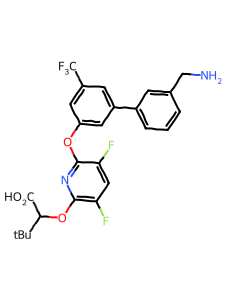 CC(C)(C)C(Oc1nc(Oc2cc(-c3cccc(CN)c3)cc(C(F)(F)F)c2)c(F)cc1F)C(=O)O